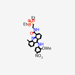 CCOP(=O)(CCNC(=O)c1cccc2c(Nc3ccc([N+](=O)[O-])cc3OC)c3cccc(C)c3nc12)OCC